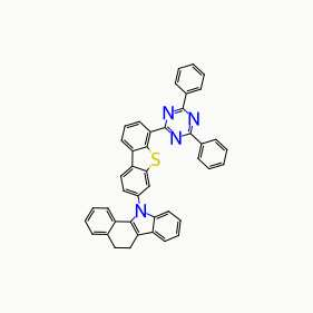 c1ccc(-c2nc(-c3ccccc3)nc(-c3cccc4c3sc3cc(-n5c6c(c7ccccc75)CCc5ccccc5-6)ccc34)n2)cc1